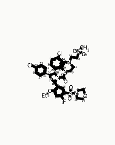 CCOc1cc(F)c(S(=O)(=O)N2CCOCC2)cc1C1=N[C@@H](c2ccc(Cl)cc2)[C@@H](c2ccc(Cl)cc2)N1C(=O)N1CCN(CCS(C)(=O)=O)CC1